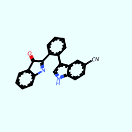 N#Cc1ccc2[nH]cc(-c3ccccc3C3=Nc4ccccc4C3=O)c2c1